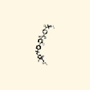 CC(C)(N)C(=O)N1CCN(C(=O)Nc2ccn(-c3ccc(C(C)(C)CN4C[C@@H]5C(CN)[C@@H]5C4)cc3)c(=O)n2)CC1